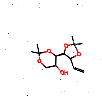 C=CC1OC(C)(C)OC1[C@@H]1OC(C)(C)OCC1O